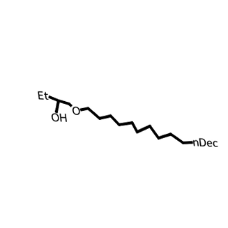 CCCCCCCCCCCCCCCCCCCCOCC(O)CC